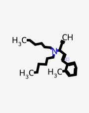 C#CC(/C=C/c1ccccc1C)N(CCCCCC)CCCCCC